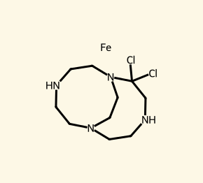 ClC1(Cl)CNCCN2CCNCCN1CC2.[Fe]